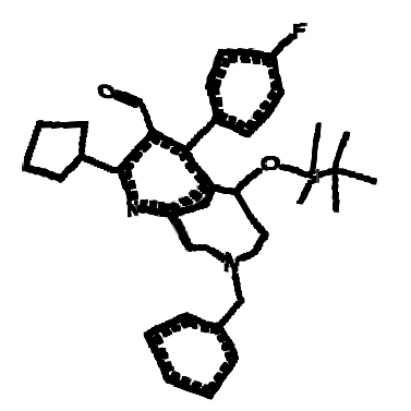 CC(C)(C)[Si](C)(C)OC1CN(Cc2ccccc2)Cc2nc(C3CCCC3)c(C=O)c(-c3ccc(F)cc3)c21